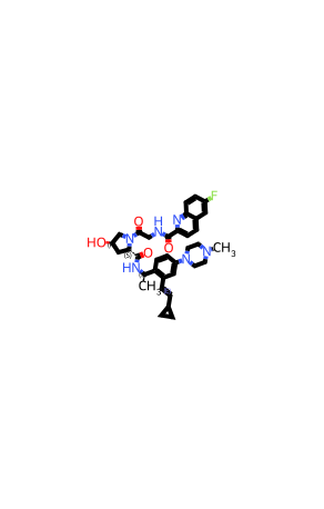 C[C@H](NC(=O)[C@@H]1C[C@@H](O)CN1C(=O)CNC(=O)c1ccc2cc(F)ccc2n1)c1ccc(N2CCN(C)CC2)cc1/C=C/C1CC1